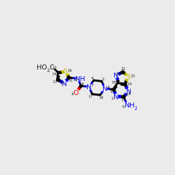 Nc1nc(N2CCN(C(=O)Nc3ncc(C(=O)O)s3)CC2)c2ncsc2n1